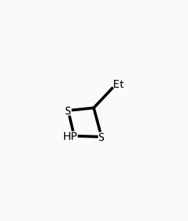 CCC1SPS1